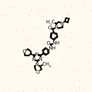 CC1CN(C2CCC2)CCN1C(=O)c1ccc(NC(=O)Nc2ccc(-c3nc(C4CCOCC4)nc(N4CCOCC4C)n3)cc2)cc1